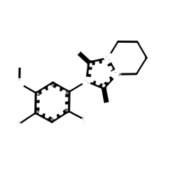 CC(C)Oc1cc(-n2c(=O)n3n(c2=S)CCCC3)c(F)cc1Cl